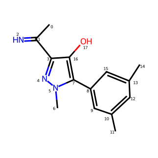 CC(=N)c1nn(C)c(-c2cc(C)cc(C)c2)c1O